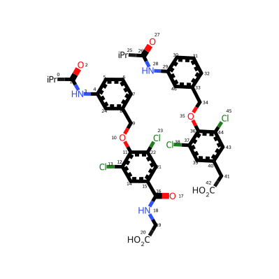 CC(C)C(=O)Nc1cccc(COc2c(Cl)cc(C(=O)NCC(=O)O)cc2Cl)c1.CC(C)C(=O)Nc1cccc(COc2c(Cl)cc(CC(=O)O)cc2Cl)c1